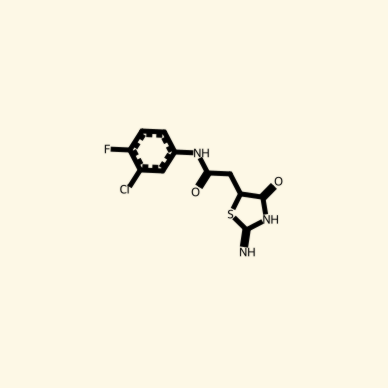 N=C1NC(=O)C(CC(=O)Nc2ccc(F)c(Cl)c2)S1